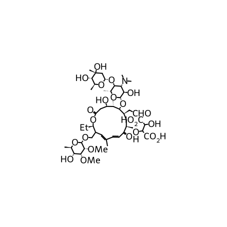 CC[C@H]1OC(=O)C[C@@H](O)[C@H](C)[C@@H](O[C@@H]2O[C@H](C)[C@@H](O[C@H]3C[C@@](C)(O)[C@@H](O)[C@H](C)O3)[C@H](N(C)C)[C@H]2O)[C@@H](CC=O)C[C@@H](C)C(=O)/C=C/C(C)=C/C1CO[C@@H]1O[C@H](C)[C@@H](O)[C@@H](OC)[C@H]1OC.O=C(O)C(O)C(O)C(=O)O